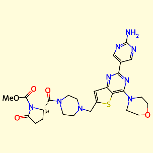 COC(=O)N1C(=O)CC[C@H]1C(=O)N1CCN(Cc2cc3nc(-c4cnc(N)nc4)nc(N4CCOCC4)c3s2)CC1